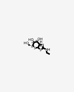 CCNC1=N[C@H]2C(S1)S[C@H](CO)[C@@H](O)[C@@H]2O